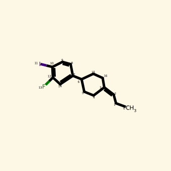 CCC=C1CCC(c2ccc(I)c(F)c2)CC1